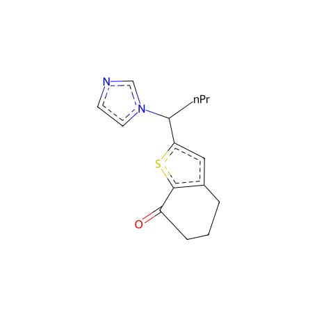 CCCC(c1cc2c(s1)C(=O)CCC2)n1ccnc1